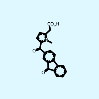 Cn1c(CC(=O)O)ccc1C(=O)c1ccc2c(c1)C(=O)c1ccccc1-2